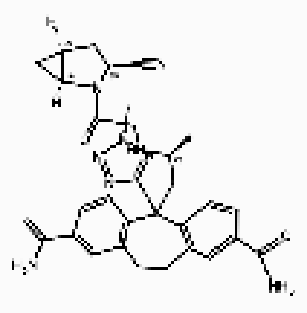 C=C(N)c1ccc2c(c1)CCc1cc(C(N)=O)ccc1C2(C[C@H](C)NCC(=O)N1[C@H](C#N)C[C@@H]2C[C@@H]21)c1nnn(C)n1